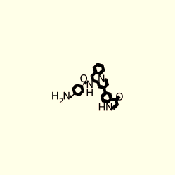 NC[C@H]1CC[C@H](C(=O)NC(Cc2ccccc2)c2cc(-c3ccc4[nH]ccc(=O)c4c3)ccn2)CC1